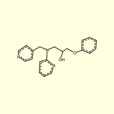 OC(COc1ccccc1)CN(Cc1ccncc1)c1[c]cccn1